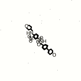 O=C1CC=C(c2ccc(C(=O)NS(=O)(=O)c3ccc(NCC4CCOCC4)c([N+](=O)[O-])c3)cc2)CC1